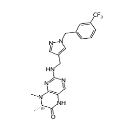 C[C@H]1C(=O)Nc2cnc(NCc3cnn(Cc4cccc(C(F)(F)F)c4)c3)nc2N1C